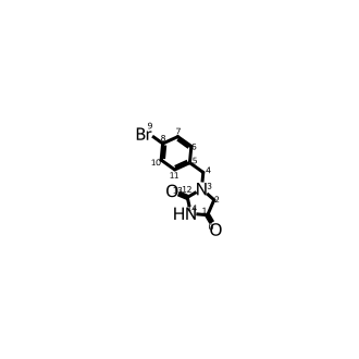 O=C1CN(Cc2ccc(Br)cc2)C(=O)N1